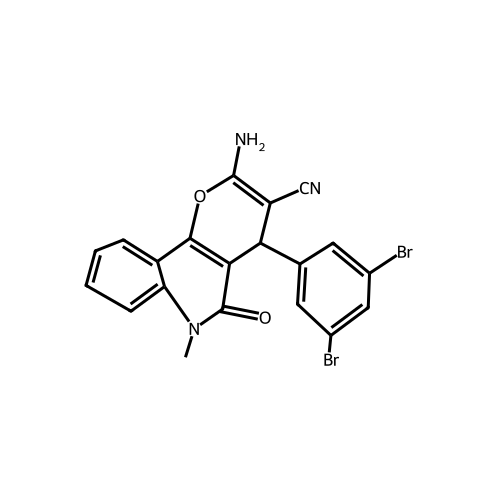 Cn1c(=O)c2c(c3ccccc31)OC(N)=C(C#N)C2c1cc(Br)cc(Br)c1